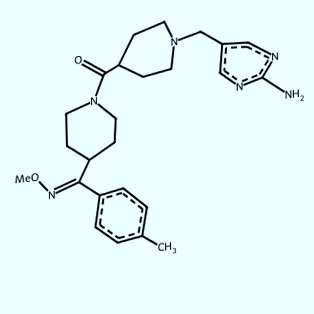 CON=C(c1ccc(C)cc1)C1CCN(C(=O)C2CCN(Cc3cnc(N)nc3)CC2)CC1